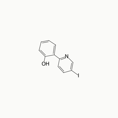 Oc1ccccc1-c1ccc(I)cn1